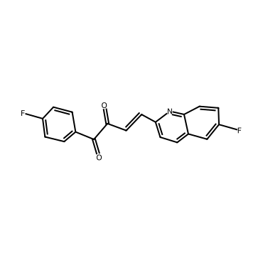 O=C(/C=C/c1ccc2cc(F)ccc2n1)C(=O)c1ccc(F)cc1